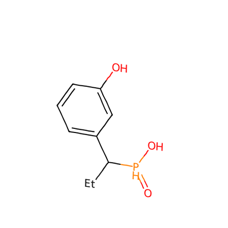 CCC(c1cccc(O)c1)[PH](=O)O